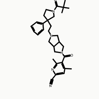 Cc1cc(C#N)nc(C)c1C(=O)N1CC2CN(CCC3(c4ccccc4)CCN(C(=O)C(C)(C)C)C3)CC2C1